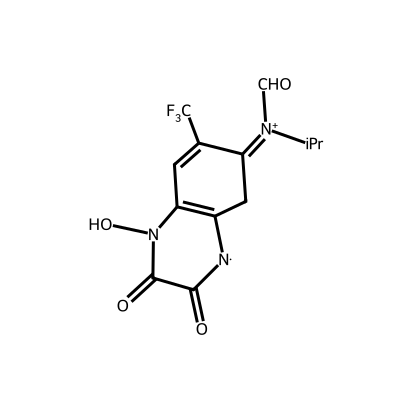 CC(C)[N+](C=O)=C1CC2=C(C=C1C(F)(F)F)N(O)C(=O)C(=O)[N]2